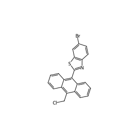 ClCc1c2ccccc2c(-c2nc3ccc(Br)cc3s2)c2ccccc12